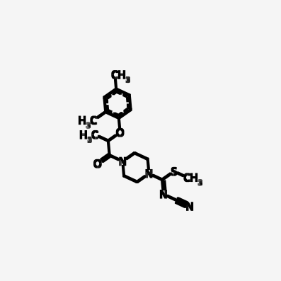 CSC(=NC#N)N1CCN(C(=O)C(C)Oc2ccc(C)cc2C)CC1